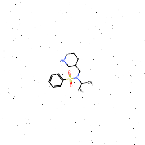 CC(C)N(CC1CCCNC1)S(=O)(=O)c1ccccc1